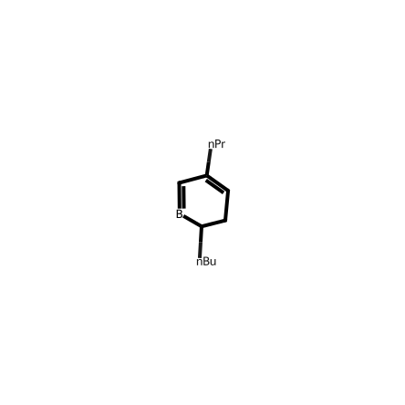 CCCCC1B=CC(CCC)=CC1